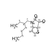 CCCCC(CC)CN1C(=O)C(=O)c2sccc21